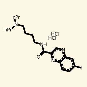 CCCN(CCC)CCCCNC(=O)c1cnc2cc(I)ccc2n1.Cl.Cl